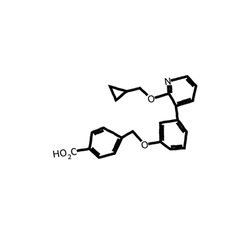 O=C(O)c1ccc(COc2cccc(-c3cccnc3OCC3CC3)c2)cc1